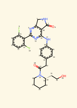 O=C1NCc2nc(-c3c(F)cccc3F)nc(Nc3ccc(CC(=O)N4CCCC[C@H]4CCO)cc3)c21